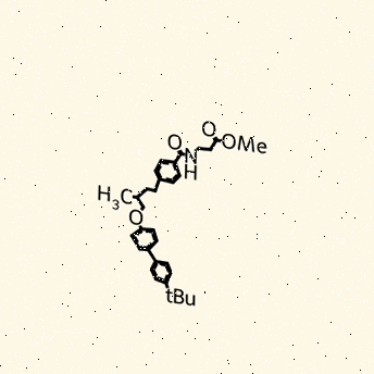 COC(=O)CCNC(=O)c1ccc(CCC(C)COc2ccc(-c3ccc(C(C)(C)C)cc3)cc2)cc1